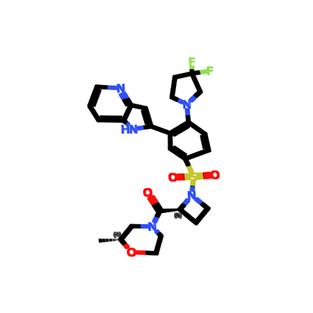 C[C@@H]1CN(C(=O)[C@@H]2CCN2S(=O)(=O)c2ccc(N3CCC(F)(F)C3)c(-c3cc4ncccc4[nH]3)c2)CCO1